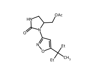 CCC(C)(CC)c1cc(N2C(=O)NCC2COC(C)=O)no1